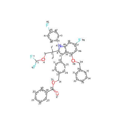 CC(C)(COC(F)F)c1c(-c2ccc(COC(=O)c3ccccc3)cc2)c2c(OCc3ccccc3)cc(F)cc2n1-c1ccc(F)cc1